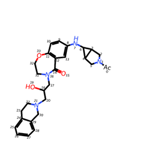 CC(=O)N1CC2C(C1)C2Nc1ccc2c(c1)C(=O)N(CC(O)CN1CCc3ccccc3C1)CCO2